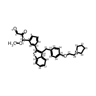 CON(C(=O)C=O)c1cccc(-c2sc3ccccc3c2Cc2ccc(OCCN3CCCC3)cc2)c1